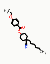 CCCCCCC1(C#N)CCC(OC(=O)c2ccc(OCC)cc2)CC1